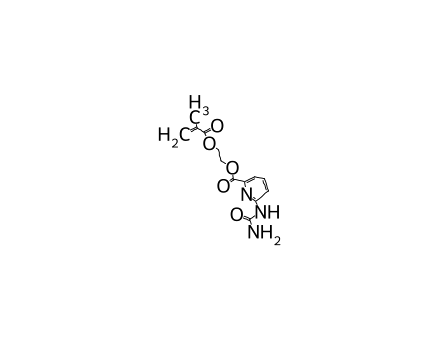 C=C(C)C(=O)OCCOC(=O)c1cccc(NC(N)=O)n1